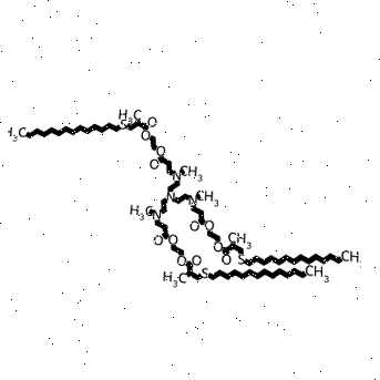 CCCCCCCCCCCCCCSCC(C)C(=O)OCCOC(=O)CCN(C)CCN(CCN(C)CCC(=O)OCCOC(=O)C(C)CSCCCCCCCCCCCCCC)CCN(C)CCC(=O)OCCOC(=O)C(C)CSCCCCCCCCCCCCCC